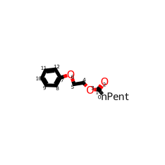 CCCCCC(=O)OCCOc1ccccc1